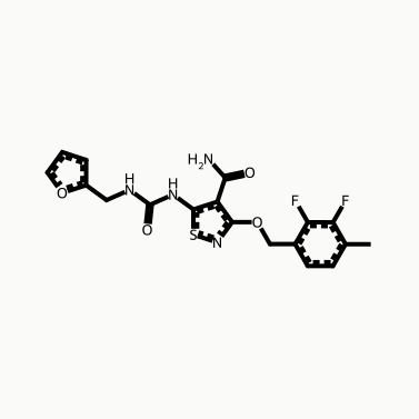 Cc1ccc(COc2nsc(NC(=O)NCc3ccco3)c2C(N)=O)c(F)c1F